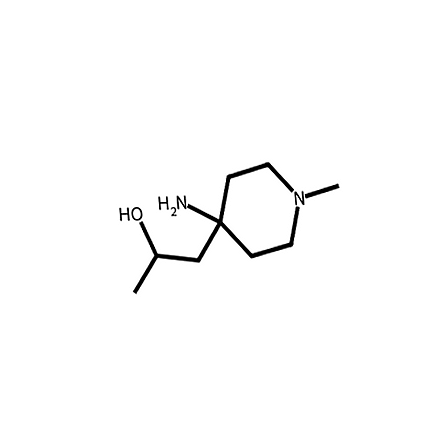 CC(O)CC1(N)CCN(C)CC1